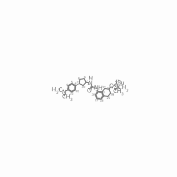 CN(C)c1ccc([C@H]2CCC(NC(=O)Nc3cccc4c3CC(O[Si](C)(C)C(C)(C)C)CC4)C2)cc1